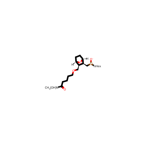 CCCCCC[S+]([O-])C[C@H]1[C@@H](COCCCCC(=O)N(C)O)[C@H]2CC[C@@H]1O2